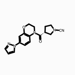 N#CN1CC[C@@H](C(=O)N2CCOc3cc(-n4cccn4)ccc32)C1